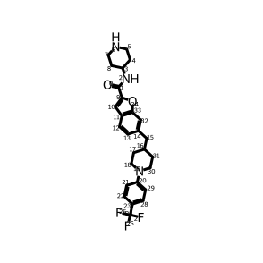 O=C(NC1CCNCC1)c1cc2ccc(CC3CCN(c4ccc(C(F)(F)F)cc4)CC3)cc2o1